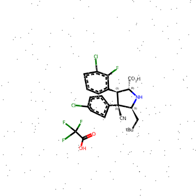 CC(C)(C)C[C@@H]1N[C@@H](C(=O)O)[C@H](c2cccc(Cl)c2F)[C@@]1(C#N)c1ccc(Cl)cc1.O=C(O)C(F)(F)F